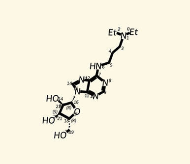 CCN(CC)CCCNc1ncnc2c1ncn2[C@@H]1O[C@H](CO)[C@@H](O)[C@H]1O